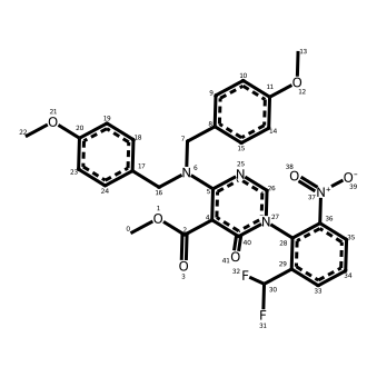 COC(=O)c1c(N(Cc2ccc(OC)cc2)Cc2ccc(OC)cc2)ncn(-c2c(C(F)F)cccc2[N+](=O)[O-])c1=O